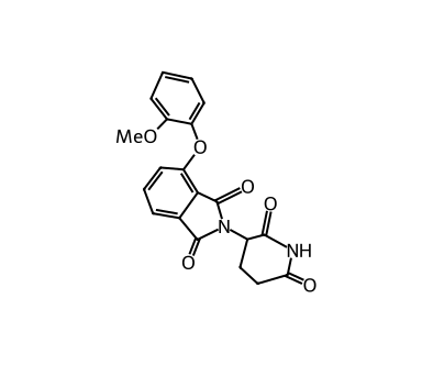 COc1ccccc1Oc1cccc2c1C(=O)N(C1CCC(=O)NC1=O)C2=O